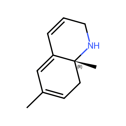 CC1=CC[C@@]2(C)NCC=CC2=C1